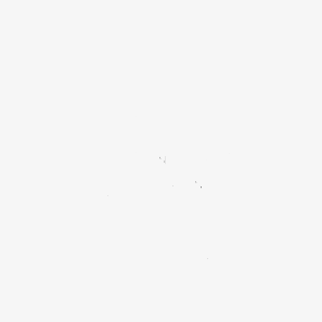 O=C1C(=Cc2ccccc2)N(CC2CO2)C(=O)N1CC1CO1